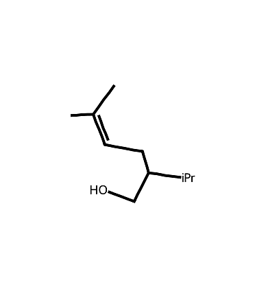 CC(C)=CCC(CO)C(C)C